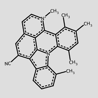 Cc1cc(C)c2c(c1C)c1c3c(cc[n+]1C)cc(C#N)c1c4cccc(C)c4n2c13